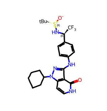 CC(C)(C)[S@+]([O-])N[C@H](c1ccc(Nc2nn(C3CCCCC3)c3cc[nH]c(=O)c23)cc1)C(F)(F)F